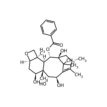 CC1=C2[C@@H](O)[C@H](O)[C@@]3(C)[C@H]([C@H](OC(=O)c4ccccc4)[C@](O)(C[C@@H]1C)C2(C)C)[C@]1(C)CO[C@@H]1C[C@@H]3O